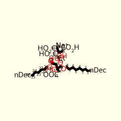 CCCCCCCCCCCCCCCCCCOC(=O)C(O)(CC(=O)[O-])CC(=O)OCCCCCCCCCCCCCCCC.CCO.O=C(O)CC(O)(CC(=O)O)C(=O)O.[Na+]